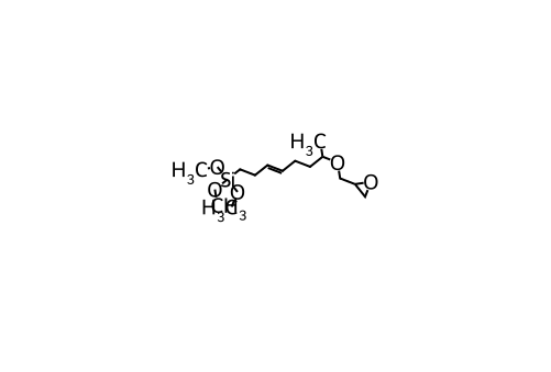 CO[Si](CCC=CCCC(C)OCC1CO1)(OC)OC